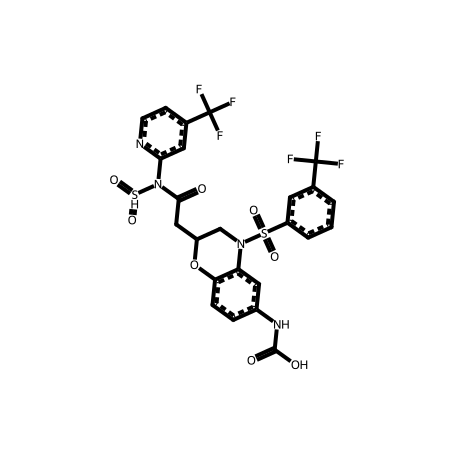 O=C(O)Nc1ccc2c(c1)N(S(=O)(=O)c1cccc(C(F)(F)F)c1)CC(CC(=O)N(c1cc(C(F)(F)F)ccn1)[SH](=O)=O)O2